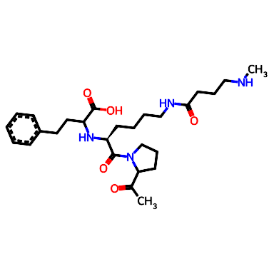 CNCCCC(=O)NCCCC[C@H](NC(CCc1ccccc1)C(=O)O)C(=O)N1CCCC1C(C)=O